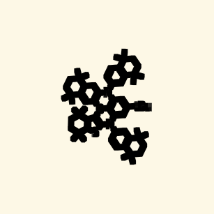 CC1(C)CCC(C)(C)C2CC3=C(C=C21)B1c2c(cc(C(C)(C)C)cc2N(c2ccc4c(c2)C(C)(C)CCC4(C)C)c2sc4c(c21)C(C)(C)CCC4(C)C)N3c1ccc2c(c1)C(C)(C)CCC2(C)C